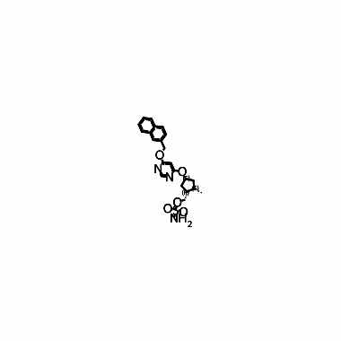 C[C@H]1C[C@H](Oc2cc(OCc3ccc4ccccc4c3)ncn2)C[C@H]1COS(N)(=O)=O